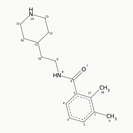 Cc1cccc(C(=O)NCCC2CCNCC2)c1C